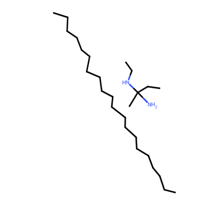 CCCCCCCCCCCCCCCCCCCC.CCNC(C)(N)CC